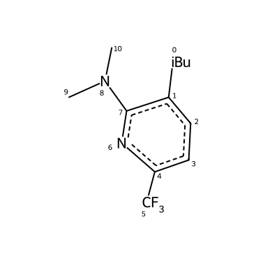 CCC(C)c1ccc(C(F)(F)F)nc1N(C)C